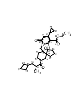 CCOC(=O)c1cn(C[C@]2(O)CCN(C(=O)[C@H](C)CC3CCC3)CC23CCCC3)c(=O)cc1C1CC1